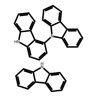 c1ccc2c(c1)[nH]c1cccc(-n3c4ccccc4c4ccccc43)c12.c1ccc2c(c1)[nH]c1ccccc12